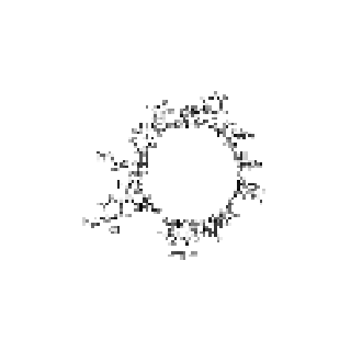 CC[C@H](C)[C@H]1CN(C)[C@@H](C)CN2CC[C@H]2CN(C)[C@@H](CC2CCCCC2)CN(C)CCN[C@@H](CCc2ccc(C(F)(F)F)c(Cl)c2)CN(C)[C@@H](COCCC(C)C)CNC2(CCCC2)CN(C)[C@@H](C2CCCC2)CN(C)[C@H](C(=O)N2CCCCC2)CCN(C)[C@@H](CC(C)C)CN1